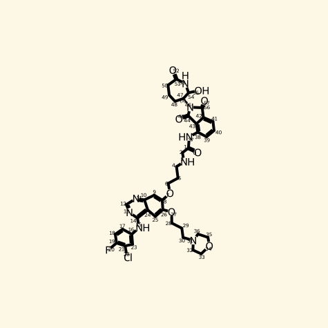 O=C(CNCCCOc1cc2ncnc(Nc3ccc(F)c(Cl)c3)c2cc1OCCCN1CCOCC1)Nc1cccc2c1C(=O)N([C@H]1CCCC(=O)NC1O)C2=O